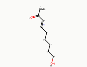 COC(=O)/C=C/CCCCCO